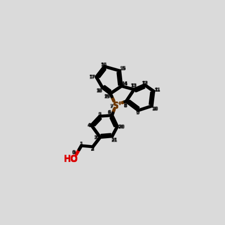 OCCc1ccc(-[s+]2c3ccccc3c3ccccc32)cc1